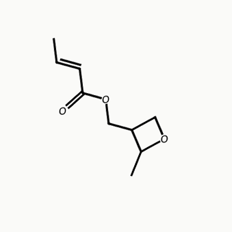 CC=CC(=O)OCC1COC1C